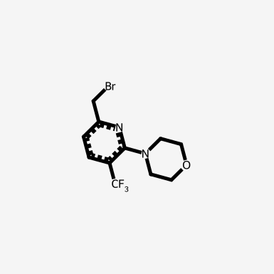 FC(F)(F)c1ccc(CBr)nc1N1CCOCC1